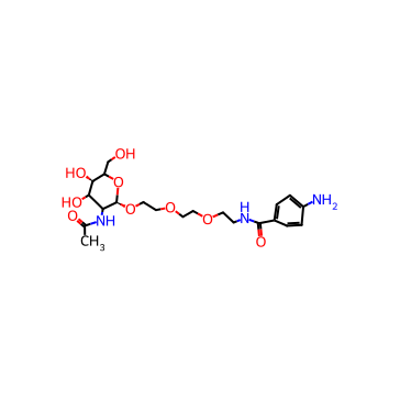 CC(=O)NC1C(O)[C@@H](O)C(CO)O[C@H]1OCCOCCOCCNC(=O)c1ccc(N)cc1